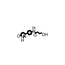 O=C(CCCO)Nc1ccc(-c2ccc(=O)[nH]n2)cc1